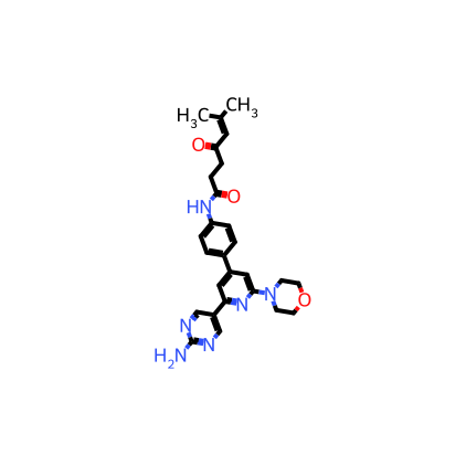 CC(C)=CC(=O)CCC(=O)Nc1ccc(-c2cc(-c3cnc(N)nc3)nc(N3CCOCC3)c2)cc1